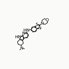 CN(C)C1CCc2[nH]c3nc(Nc4ccc5nc(N6CCOCC6)sc5c4)ccc3c2C1